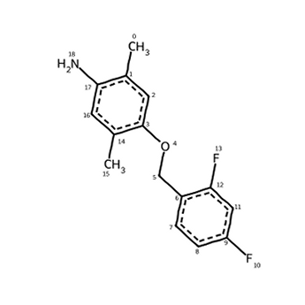 Cc1cc(OCc2ccc(F)cc2F)c(C)cc1N